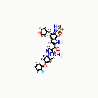 Cc1cc(Oc2ccccc2F)ccc1-n1ncc(C(=O)c2cc3cc(OC4CCOCC4)c(NS(C)(=O)=O)cc3[nH]2)c1N